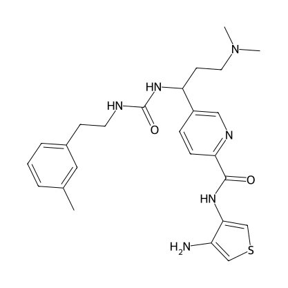 Cc1cccc(CCNC(=O)NC(CCN(C)C)c2ccc(C(=O)Nc3cscc3N)nc2)c1